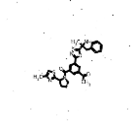 CC(=O)c1cc(C(=O)N2CCCC2c2nc(C)cs2)cc(-c2nnc(C(C)(N)Cc3ccccc3)o2)c1